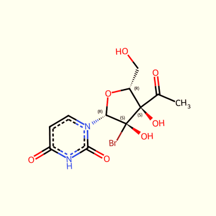 CC(=O)[C@@]1(O)[C@@H](CO)O[C@@H](n2ccc(=O)[nH]c2=O)[C@@]1(O)Br